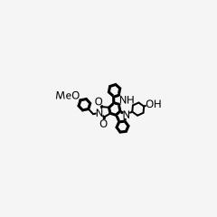 COc1ccc(CN2C(=O)c3c(c4c5ccccc5n(C5CCC(O)CC5)c4c4[nH]c5ccccc5c34)C2=O)cc1